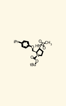 CC(C)c1ccc(OC[C@H]2[C@@H](NS(C)(=O)=O)CCN2C(=O)OC(C)(C)C)cc1